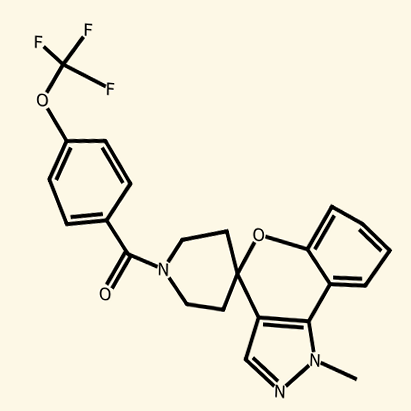 Cn1ncc2c1-c1ccccc1OC21CCN(C(=O)c2ccc(OC(F)(F)F)cc2)CC1